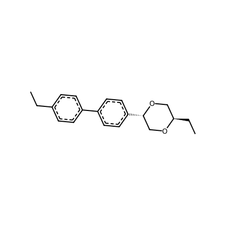 CCc1ccc(-c2ccc([C@H]3CO[C@H](CC)CO3)cc2)cc1